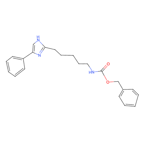 O=C(NCCCCCc1nc(-c2ccccc2)c[nH]1)OCc1ccccc1